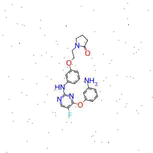 Nc1cccc(Oc2nc(Nc3cccc(OCCN4CCCC4=O)c3)ncc2F)c1